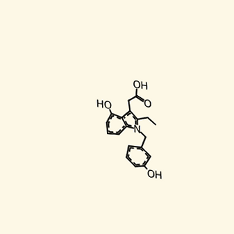 CCc1c(CC(=O)O)c2c(O)cccc2n1Cc1cccc(O)c1